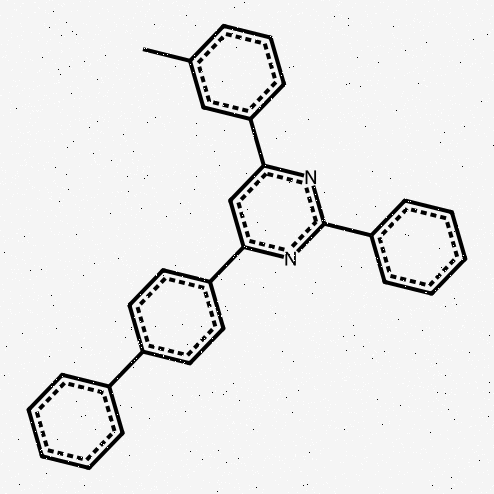 Cc1cccc(-c2cc(-c3ccc(-c4ccccc4)cc3)nc(-c3ccccc3)n2)c1